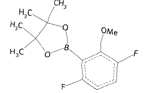 COc1c(F)ccc(F)c1B1OC(C)(C)C(C)(C)O1